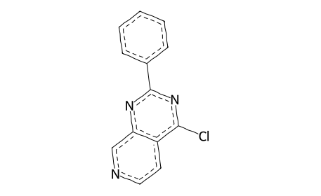 Clc1nc(-c2ccccc2)nc2cnccc12